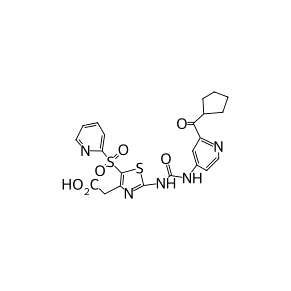 O=C(O)Cc1nc(NC(=O)Nc2ccnc(C(=O)C3CCCC3)c2)sc1S(=O)(=O)c1ccccn1